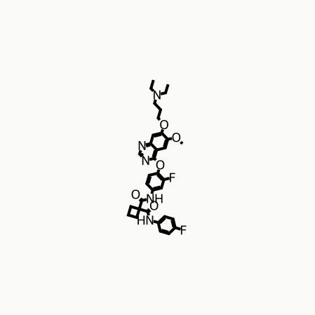 CCN(CC)CCCOc1cc2ncnc(Oc3ccc(NC(=O)C4(C(=O)Nc5ccc(F)cc5)CCC4)cc3F)c2cc1OC